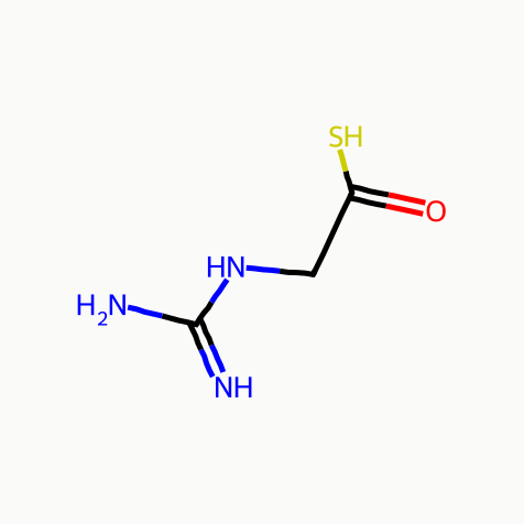 N=C(N)NCC(=O)S